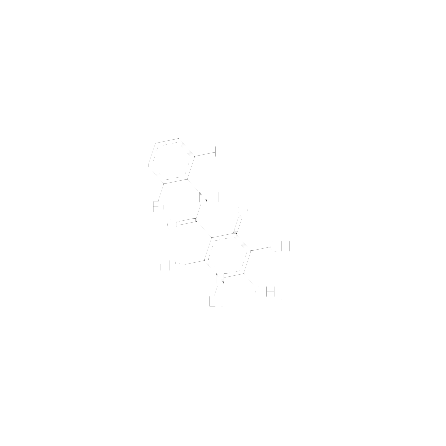 CCCc1c(C(=O)Nc2c(CC)cccc2CC)c(=O)c(C)c(C)n1CC